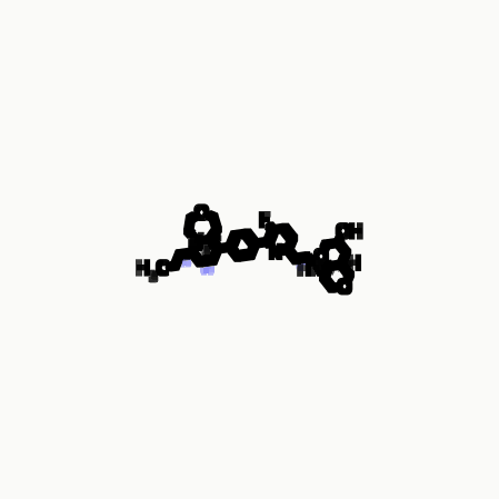 CC/C=C(\C=C/C(C)c1ccc(-c2nc(/C=C/N[C@@]34CCOC[C@@H]3CC(O)CO4)ccc2F)cc1)N1CCCOCC1